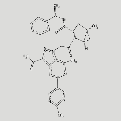 CC(=O)c1nn(CC(=O)N2[C@H](C(=O)N[C@H](C)c3ccccc3)C[C@@]3(C)C[C@@H]23)c2c(C)cc(-c3cnc(C)nc3)cc12